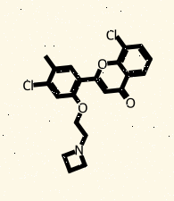 Cc1cc(-c2cc(=O)c3cccc(Cl)c3o2)c(OCCN2CCC2)cc1Cl